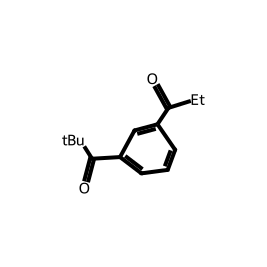 CCC(=O)c1cccc(C(=O)C(C)(C)C)c1